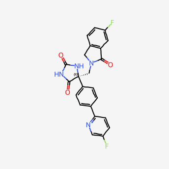 O=C1NC(=O)[C@](CN2Cc3ccc(F)cc3C2=O)(c2ccc(-c3ccc(F)cn3)cc2)N1